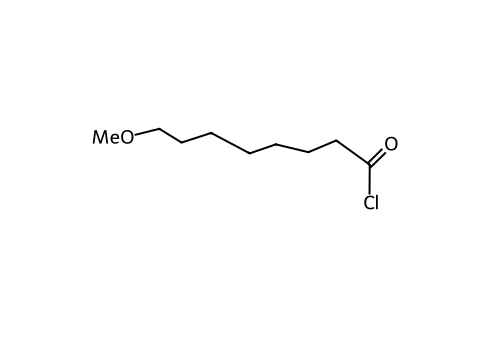 COCCCCCCCC(=O)Cl